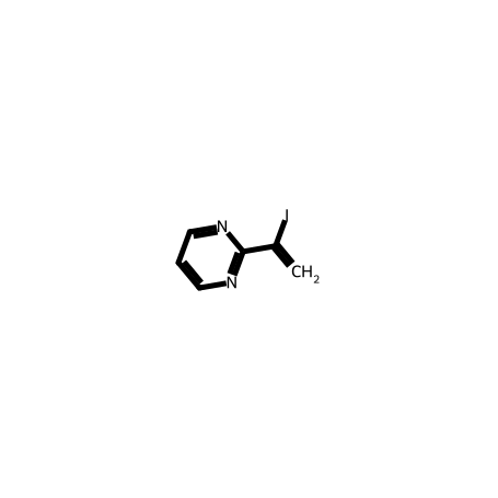 C=C(I)c1ncccn1